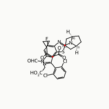 O=CN(CC(=O)O)c1cc(F)c2nc(N3[C@@H]4CC[C@H]3C[C@H](OC(=O)c3c(-c5c(Cl)cccc5Cl)noc3C3CC3)C4)sc2c1